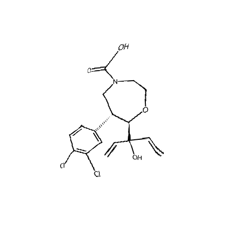 C=CC(O)(C=C)[C@@H]1OCCN(C(=O)O)C[C@H]1c1ccc(Cl)c(Cl)c1